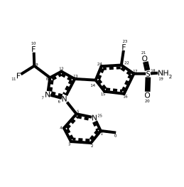 Cc1cccc(-n2nc(C(F)F)cc2-c2ccc(S(N)(=O)=O)c(F)c2)n1